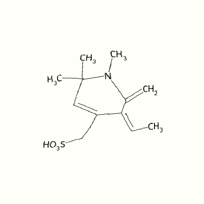 C=C1/C(=C\C)C(CS(=O)(=O)O)=CC(C)(C)N1C